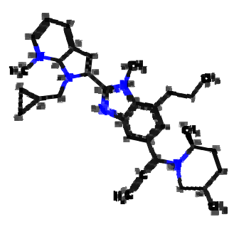 C=C=C(c1cc(CCC)c2c(c1)nc(C1=CC3=CC=CN(C)C3N1CC1CC1)n2C)N1CC(C)CC[C@@H]1C